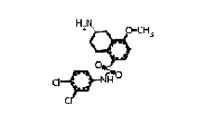 COc1ccc(S(=O)(=O)Nc2ccc(Cl)c(Cl)c2)c2c1C[C@@H](N)CC2